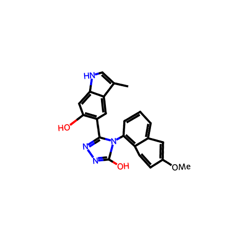 COc1ccc2c(-n3c(O)nnc3-c3cc4c(C)c[nH]c4cc3O)cccc2c1